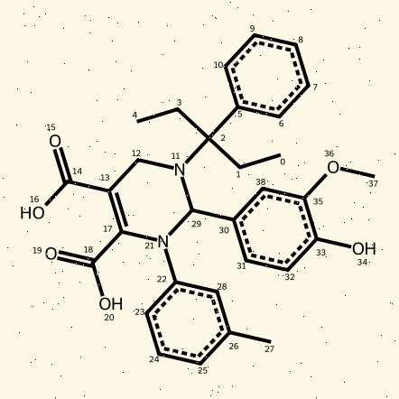 CCC(CC)(c1ccccc1)N1CC(C(=O)O)=C(C(=O)O)N(c2cccc(C)c2)C1c1ccc(O)c(OC)c1